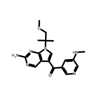 CNc1cncc(C(=O)c2cn(C(C)(C)COC)c3nc(N)ncc23)c1